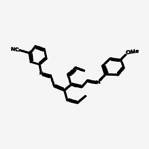 C\C=C/C(=C/C=N/c1cccc(C#N)c1)C(/C=C\C)=C/C=N/c1ccc(OC)cc1